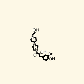 O=C([C@H](O)Cc1ccc(O)c(Br)c1)N1CCN(C2CCN(CCO)CC2)CC1